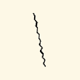 [CH2]CCCC=CCCCCCCCC=CCCC